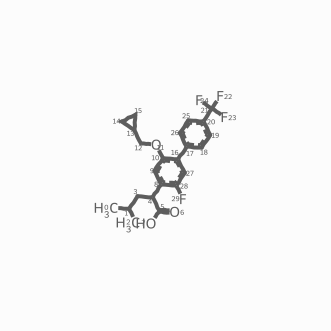 CC(C)CC(C(=O)O)c1cc(OCC2CC2)c(-c2ccc(C(F)(F)F)cc2)cc1F